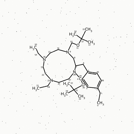 CCc1ccc(CC2CN(COC(C)(C)C)CCN(CC)CCN(CC)CCN2COC(C)(C)C)cc1